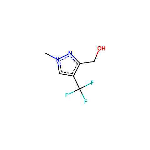 Cn1cc(C(F)(F)F)c(CO)n1